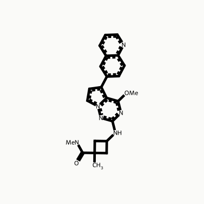 CNC(=O)C1(C)CC(Nc2nc(OC)c3c(-c4ccc5ncccc5c4)ccn3n2)C1